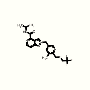 Cc1cc(Cn2cc3c(C(=O)NC(C)C)nccc3n2)cnc1COCC(F)(F)F